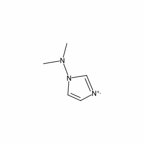 CN(C)N1C=C[N+]=C1